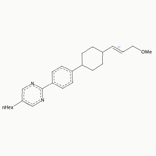 CCCCCCc1cnc(-c2ccc(C3CCC(/C=C/COC)CC3)cc2)nc1